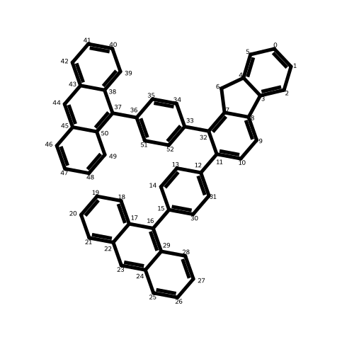 c1ccc2c(c1)Cc1c-2ccc(-c2ccc(-c3c4ccccc4cc4ccccc34)cc2)c1-c1ccc(-c2c3ccccc3cc3ccccc23)cc1